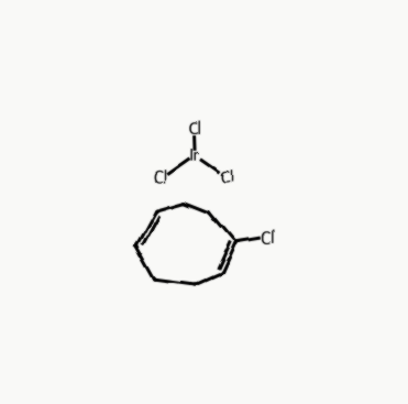 ClC1=CCCC=CCC1.[Cl][Ir]([Cl])[Cl]